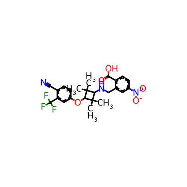 CC1(C)C(NCc2cc([N+](=O)[O-])ccc2C(=O)O)C(C)(C)C1Oc1ccc(C#N)c(C(F)(F)F)c1